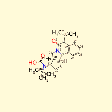 CC(C)C(C(=O)N1C[C@H]2CC[C@H](N(C(=O)O)C(C)(C)C)[C@H]2C1)c1ccccc1